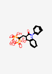 O=C(Nc1ccccc1)C(CC(P(=O)(O)O)P(=O)(O)O)C(=O)c1ccccc1